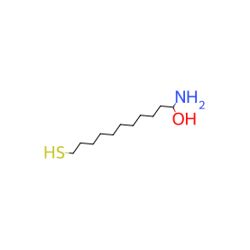 NC(O)CCCCCCCCCCS